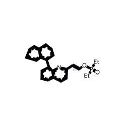 CCP(=O)(CC)O/C=C/c1ccc2cccc(-c3cccc4ccccc34)c2n1